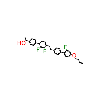 C=CCCOc1ccc(-c2ccc(CCC3=CCC(c4ccc(C(C)O)cc4)C(F)=C3F)cc2)c(F)c1